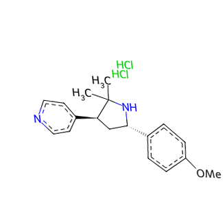 COc1ccc([C@@H]2C[C@@H](c3ccncc3)C(C)(C)N2)cc1.Cl.Cl